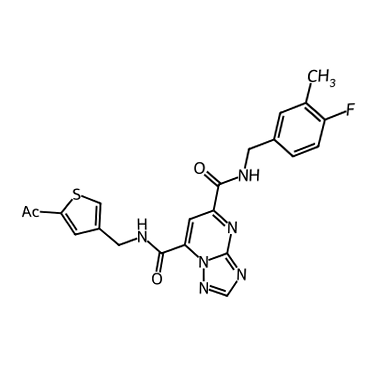 CC(=O)c1cc(CNC(=O)c2cc(C(=O)NCc3ccc(F)c(C)c3)nc3ncnn23)cs1